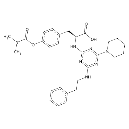 CN(C)C(=O)Oc1ccc(C[C@H](Nc2nc(NCCc3ccccc3)nc(N3CCCCC3)n2)C(=O)O)cc1